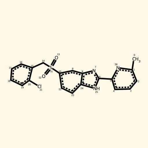 Cc1cccc(-c2nc3cc(S(=O)(=O)Cc4ccccc4Cl)ccc3[nH]2)n1